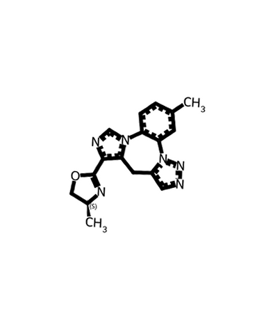 Cc1ccc2c(c1)-n1nncc1Cc1c(C3=N[C@@H](C)CO3)ncn1-2